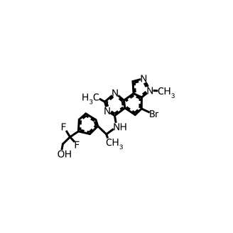 Cc1nc(NC(C)c2cccc(C(F)(F)CO)c2)c2cc(Br)c3c(cnn3C)c2n1